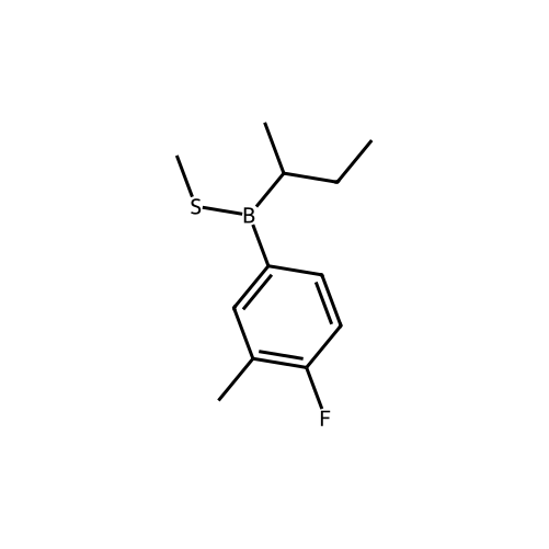 CCC(C)B(SC)c1ccc(F)c(C)c1